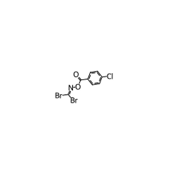 O=C(ON=C(Br)Br)c1ccc(Cl)cc1